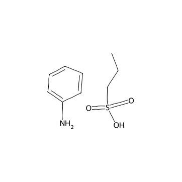 CCCS(=O)(=O)O.Nc1ccccc1